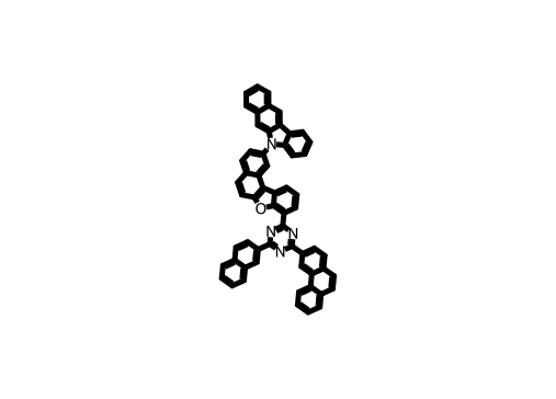 c1ccc2cc(-c3nc(-c4ccc5ccc6ccccc6c5c4)nc(-c4cccc5c4oc4ccc6ccc(-n7c8ccccc8c8cc9ccccc9cc87)cc6c45)n3)ccc2c1